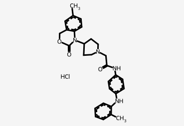 Cc1ccc2c(c1)COC(=O)N2C1CCN(CC(=O)Nc2ccc(Nc3ccccc3C)cc2)CC1.Cl